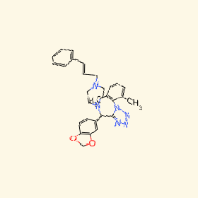 Cc1cccc(C)c1-n1nnnc1C(c1ccc2c(c1)OCO2)N1CCN(C/C=C/c2ccccc2)CC1